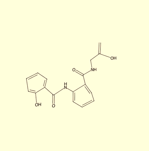 C=C(O)CNC(=O)c1ccccc1NC(=O)c1ccccc1O